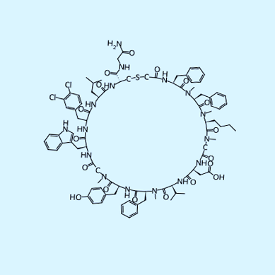 CCCC[C@H]1C(=O)N(C)CC(=O)N[C@@H](CC(=O)O)C(=O)N[C@@H](C(C)C)C(=O)N(C)[C@@H](Cc2ccccc2)C(=O)N[C@@H](Cc2ccc(O)cc2)C(=O)N(C)CC(=O)N[C@@H](Cc2c[nH]c3ccccc23)C(=O)NC(Cc2ccc(Cl)c(Cl)c2)C(=O)N[C@@H](CC(C)C)C(=O)N[C@H](C(=O)NCC(N)=O)CSCC(=O)N[C@@H](Cc2ccccc2)C(=O)N(C)[C@@H](Cc2ccccc2)C(=O)N1C